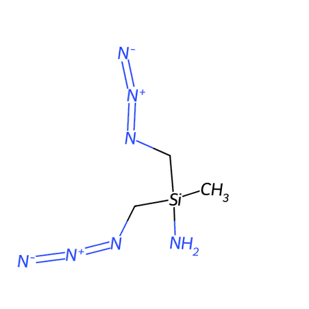 C[Si](N)(CN=[N+]=[N-])CN=[N+]=[N-]